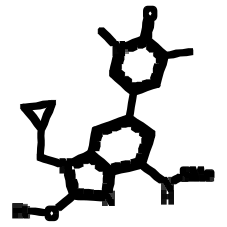 CCOc1nc2c(NSC)cc(-c3cc(C)c(=O)n(C)c3)cc2n1CC1CC1